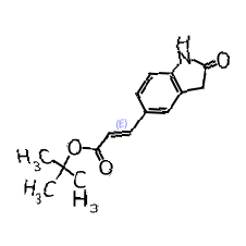 CC(C)(C)OC(=O)/C=C/c1ccc2c(c1)CC(=O)N2